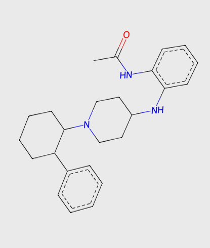 CC(=O)Nc1ccccc1NC1CCN(C2CCCCC2c2ccccc2)CC1